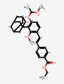 CCOC(=O)c1ccc(C=Cc2ccc(OC(C)OC)c(C34CC5CC(CC(C5)C3)C4)c2OC)cc1